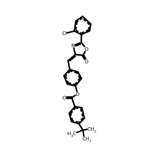 CC(C)(C)c1ccc(C(=O)Oc2ccc(C=C3N=C(c4ccccc4Cl)OC3=O)cc2)cc1